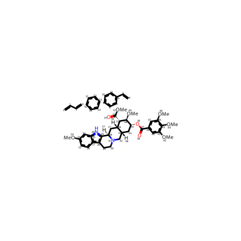 C=CC=C.C=Cc1ccccc1.COC(=O)[C@H]1[C@H]2C[C@@H]3c4[nH]c5cc(OC)ccc5c4CCN3C[C@H]2C[C@@H](OC(=O)c2cc(OC)c(OC)c(OC)c2)[C@@H]1OC.c1ccccc1